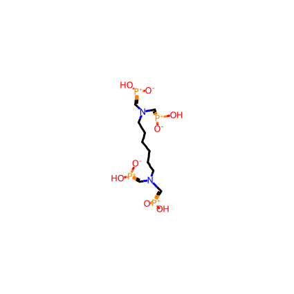 [O-]/[P+](O)=C\N(/C=[P+](\[O-])O)CCCCCCN(/C=[P+](\[O-])O)/C=[P+](\[O-])O